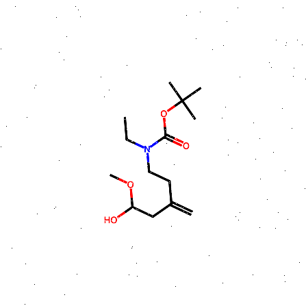 C=C(CCN(CC)C(=O)OC(C)(C)C)CC(O)OC